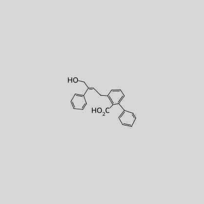 O=C(O)c1c(CC=C(CO)c2ccccc2)cccc1-c1ccccc1